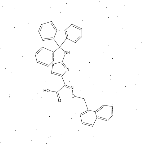 O=C(O)C(=NOCc1cccc2ccccc12)c1csc(NC(c2ccccc2)(c2ccccc2)c2ccccc2)n1